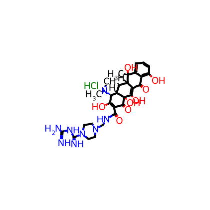 CN(C)[C@@H]1C(O)=C(C(=O)NCN2CCN(C(=N)NC(=N)N)CC2)C(=O)[C@@]2(O)C(O)=C3C(=O)c4c(O)cccc4[C@@](C)(O)[C@H]3C[C@@H]12.Cl